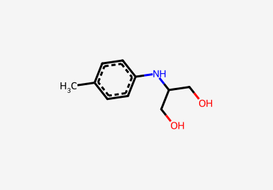 Cc1ccc(NC(CO)CO)cc1